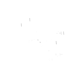 Cc1c(C(C)(C)C(=O)O)c2c(F)c(O)ccc2n1C(=O)c1ccc(F)c(F)c1